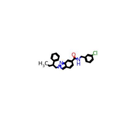 CCC(Cn1cc2ccc(C(=O)NCc3cccc(Cl)c3)cc2n1)c1ccccc1